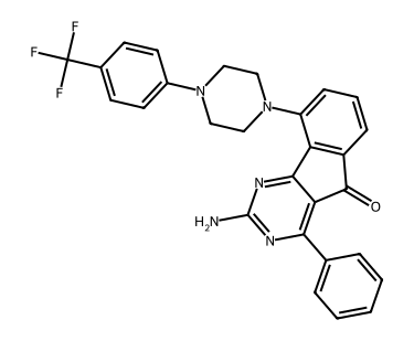 Nc1nc(-c2ccccc2)c2c(n1)-c1c(cccc1N1CCN(c3ccc(C(F)(F)F)cc3)CC1)C2=O